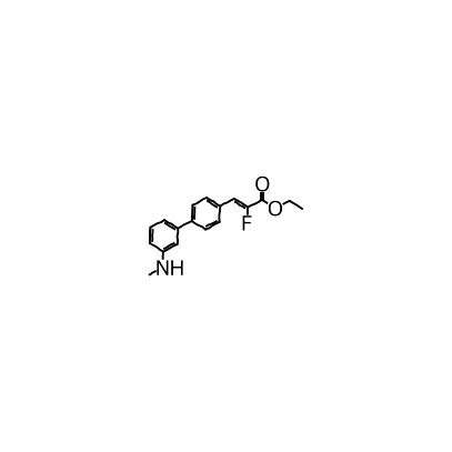 CCOC(=O)C(F)=Cc1ccc(-c2cccc(NC)c2)cc1